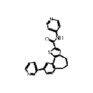 O=C(Nc1ccncc1)c1cc2c(s1)-c1cc(-c3cccnc3)ccc1CCC2